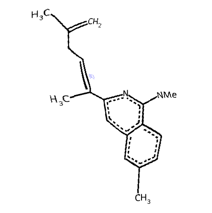 C=C(C)C/C=C(\C)c1cc2cc(C)ccc2c(NC)n1